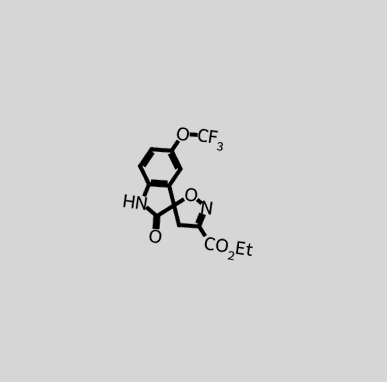 CCOC(=O)C1=NOC2(C1)C(=O)Nc1ccc(OC(F)(F)F)cc12